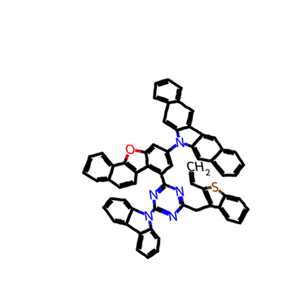 C=Cc1sc2ccccc2c1Cc1nc(-c2cc(-n3c4cc5ccccc5cc4c4cc5ccccc5cc43)cc3oc4c5ccccc5ccc4c23)nc(-n2c3ccccc3c3ccccc32)n1